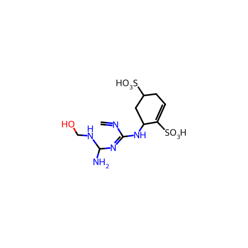 C=N/C(=N\C(N)NCO)NC1CC(S(=O)(=O)O)CC=C1S(=O)(=O)O